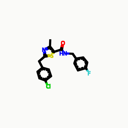 Cc1nc(Cc2ccc(Cl)cc2)sc1C(=O)NCc1ccc(F)cc1